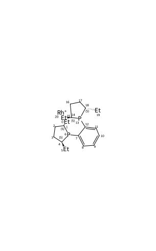 CC[C@H]1CC[C@H](CC)P1c1ccccc1P1[C@@H](CC)CC[C@@H]1CC.[Rh+]